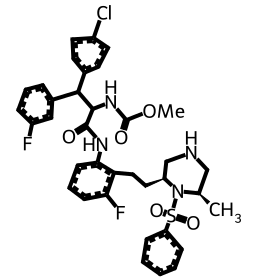 COC(=O)NC(C(=O)Nc1cccc(F)c1CC[C@H]1CNC[C@@H](C)N1S(=O)(=O)c1ccccc1)C(c1ccc(Cl)cc1)c1cccc(F)c1